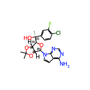 CC1(C)O[C@@H]2[C@H](O1)[C@@H]([C@@](C)(O)c1ccc(Cl)c(F)c1)O[C@H]2n1ccc2c(N)ncnc21